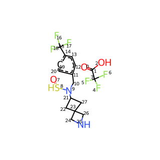 O=C(O)C(F)(F)F.O=[SH]N(Cc1ccc(C(F)(F)F)cc1)C1CC2(CNC2)C1